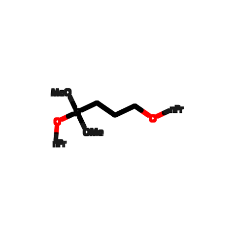 CCCOCCC[Si](OC)(OC)OCCC